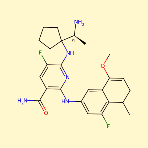 COC1=CCC(C)c2c(F)cc(Nc3nc(NC4([C@H](C)N)CCCC4)c(F)cc3C(N)=O)cc21